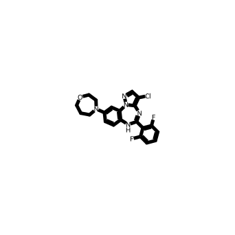 Fc1cccc(F)c1C1=Nc2c(Cl)cnn2-c2cc(N3CCCOCC3)ccc2N1